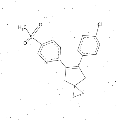 CS(=O)(=O)c1ccc(C2=C(c3ccc(Cl)cc3)CC3(CC3)C2)nc1